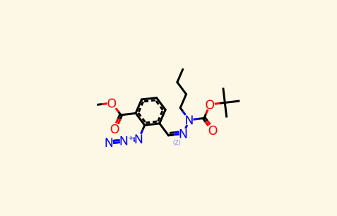 CCCCN(/N=C\c1cccc(C(=O)OC)c1N=[N+]=[N-])C(=O)OC(C)(C)C